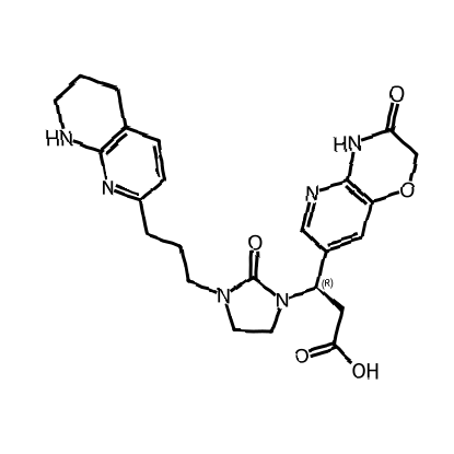 O=C(O)C[C@H](c1cnc2c(c1)OCC(=O)N2)N1CCN(CCCc2ccc3c(n2)NCCC3)C1=O